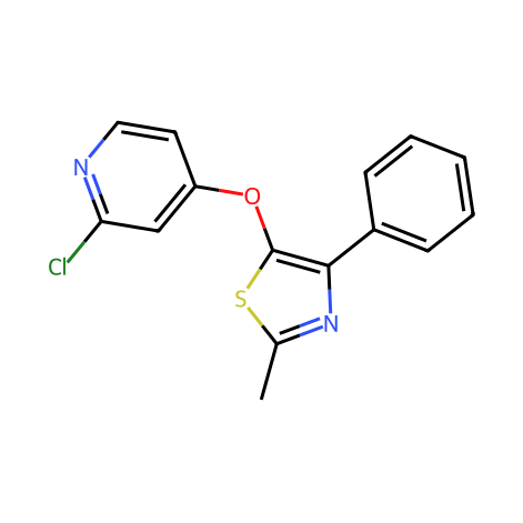 Cc1nc(-c2ccccc2)c(Oc2ccnc(Cl)c2)s1